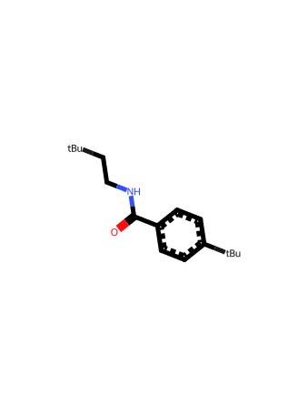 CC(C)(C)CCNC(=O)c1ccc(C(C)(C)C)cc1